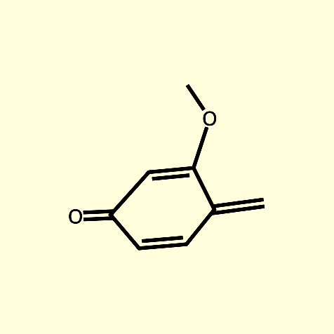 C=C1C=CC(=O)C=C1OC